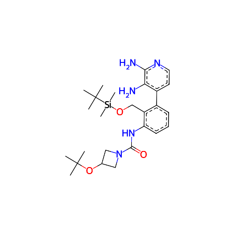 CC(C)(C)OC1CN(C(=O)Nc2cccc(-c3ccnc(N)c3N)c2CO[Si](C)(C)C(C)(C)C)C1